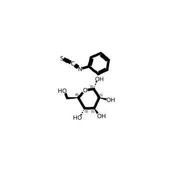 OC[C@H]1O[C@H](O)[C@@H](O)[C@@H](O)[C@@H]1O.S=C=Nc1ccccc1